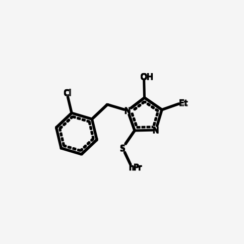 CCCSc1nc(CC)c(O)n1Cc1ccccc1Cl